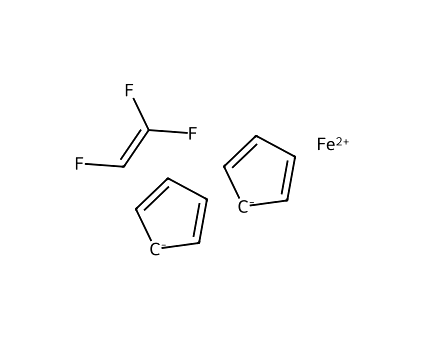 FC=C(F)F.[Fe+2].c1cc[cH-]c1.c1cc[cH-]c1